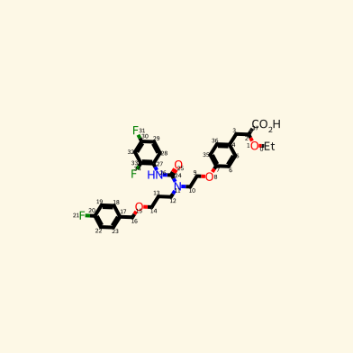 CCOC(Cc1ccc(OCCN(CCCOCc2ccc(F)cc2)C(=O)Nc2ccc(F)cc2F)cc1)C(=O)O